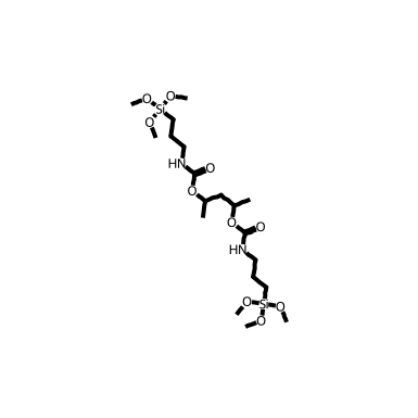 CO[Si](CCCNC(=O)OC(C)CC(C)OC(=O)NCCC[Si](OC)(OC)OC)(OC)OC